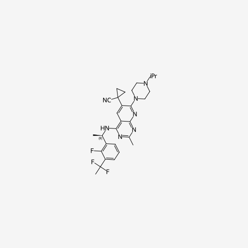 Cc1nc(N[C@H](C)c2cccc(C(C)(F)F)c2F)c2cc(C3(C#N)CC3)c(N3CCN(C(C)C)CC3)nc2n1